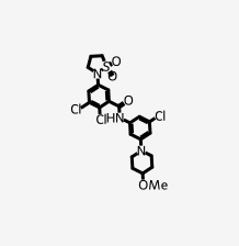 COC1CCN(c2cc(Cl)cc(NC(=O)c3cc(N4CCCS4(=O)=O)cc(Cl)c3Cl)c2)CC1